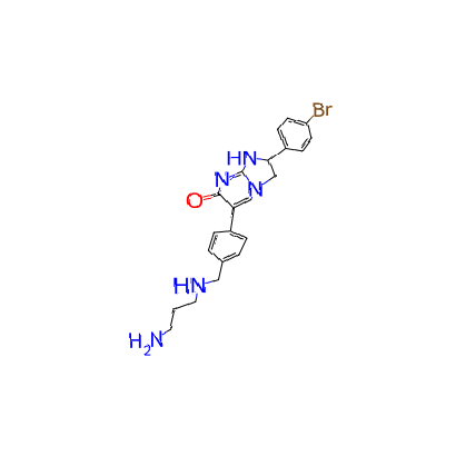 NCCCNCc1ccc(-c2cn3c(nc2=O)NC(c2ccc(Br)cc2)C3)cc1